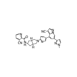 Cn1ccc(-c2cc(-c3ccc(N4C[C@@H]5C[C@@](C)(NC(=O)c6ncccc6C#N)C[C@@H]5C4)nc3)c3c(C#N)cnn3c2)n1